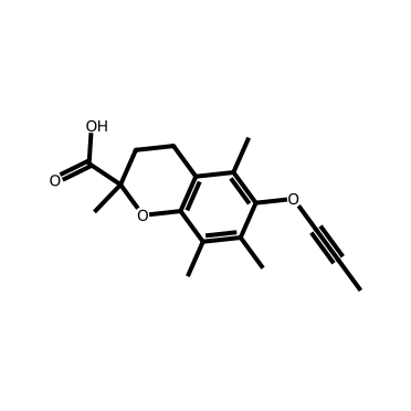 CC#COc1c(C)c(C)c2c(c1C)CCC(C)(C(=O)O)O2